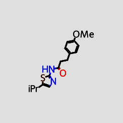 COc1ccc(CCC(=O)Nc2ncc(C(C)C)s2)cc1